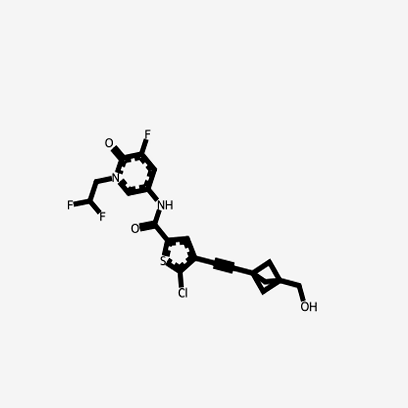 O=C(Nc1cc(F)c(=O)n(CC(F)F)c1)c1cc(C#CC23CC(CO)(C2)C3)c(Cl)s1